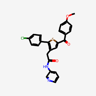 COc1ccc(C(=O)c2cc(CC(=O)Nc3cccnc3)c(-c3ccc(Cl)cc3)s2)cc1